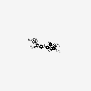 COC(=O)CN(CCNC(=O)OC(C)(C)C)[C@H]1CC[C@H](CN(C)c2ccc(N3C(=O)Cc4cc(OC)c(OC(C)C)cc4[C@@H]3c3ccc(Cl)cc3)cc2)CC1